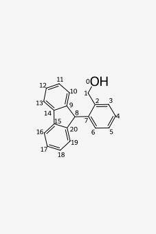 OCc1ccccc1C1c2ccccc2-c2ccccc21